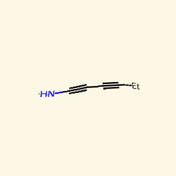 CCC#CC#C[NH]